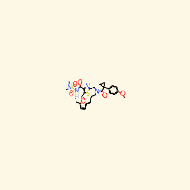 COc1ccc(C2(C(=O)N(CCCc3ccc(C)o3)Cc3nc(C(=O)NS(=O)(=O)N(C)C)c(C)s3)CC2)cc1